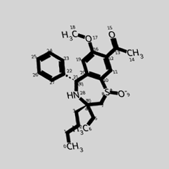 CCCC[C@]1(CC)C[S+]([O-])c2cc(C(C)=O)c(OC)cc2[C@@H](c2ccccc2)N1